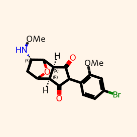 CON[C@H]1CC2OC1[C@H]1C(=O)C(c3ccc(Br)cc3OC)C(=O)[C@@H]21